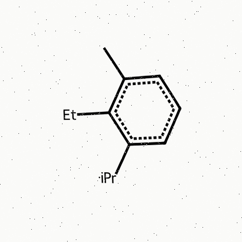 CCc1c(C)cccc1[C](C)C